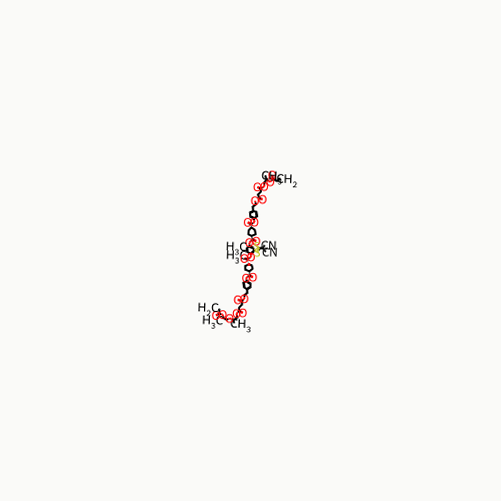 C=CC(=O)OC(C)COC(=O)CCC(=O)OCCc1ccc(OC(=O)[C@H]2CC[C@H](C(=O)Oc3c(C)c(C)c(OC(=O)[C@H]4CC[C@H](C(=O)Oc5ccc(CCOC(=O)CCC(=O)OCC(C)OCC(C)OC(=O)C=C)cc5)CC4)c4c3SC(=C(C#N)C#N)S4)CC2)cc1